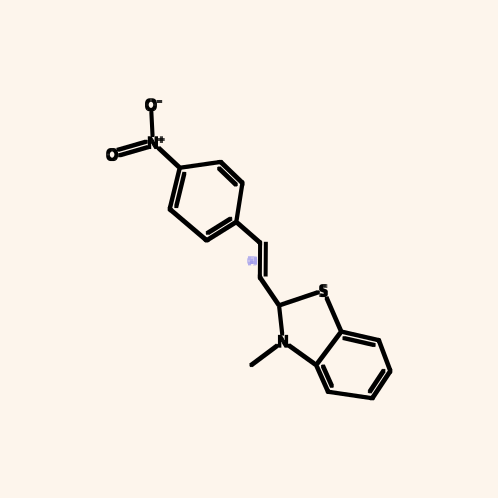 CN1c2ccccc2SC1/C=C/c1ccc([N+](=O)[O-])cc1